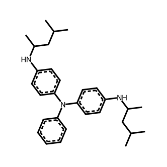 CC(C)CC(C)Nc1ccc(N(c2ccccc2)c2ccc(NC(C)CC(C)C)cc2)cc1